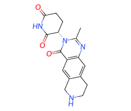 Cc1nc2cc3c(cc2c(=O)n1[C@H]1CCC(=O)NC1=O)CNCC3